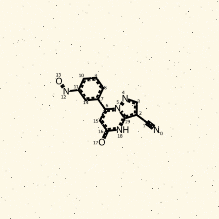 N#Cc1cnn2c(-c3cccc(N=O)c3)cc(=O)[nH]c12